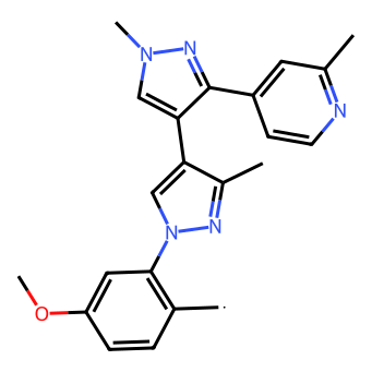 [CH2]c1ccc(OC)cc1-n1cc(-c2cn(C)nc2-c2ccnc(C)c2)c(C)n1